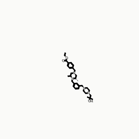 CCOC(=O)c1ccc(CN2CC(C)N(Cc3cccc(CN4CCN(CC(C)(C)O)CC4)c3)[C@@H](C)C2)cc1